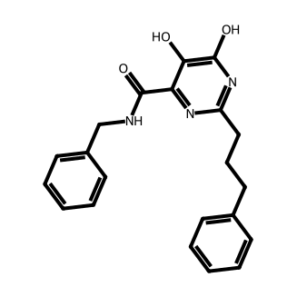 O=C(NCc1ccccc1)c1nc(CCCc2ccccc2)nc(O)c1O